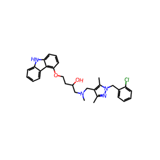 Cc1nn(Cc2ccccc2Cl)c(C)c1CN(C)CC(O)CCOc1cccc2[nH]c3ccccc3c12